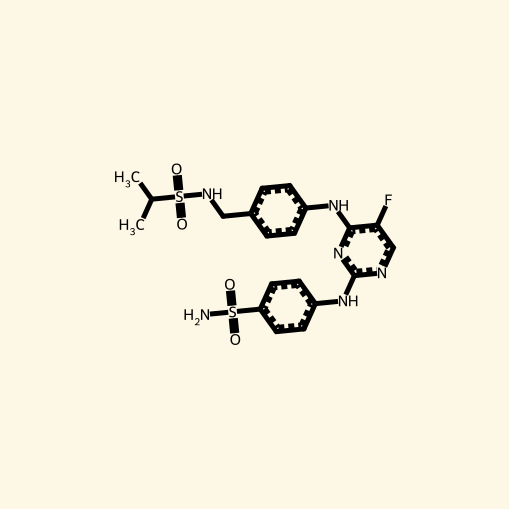 CC(C)S(=O)(=O)NCc1ccc(Nc2nc(Nc3ccc(S(N)(=O)=O)cc3)ncc2F)cc1